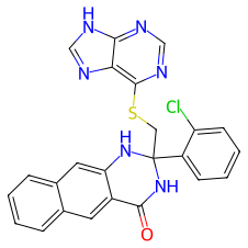 O=C1NC(CSc2ncnc3[nH]cnc23)(c2ccccc2Cl)Nc2cc3ccccc3cc21